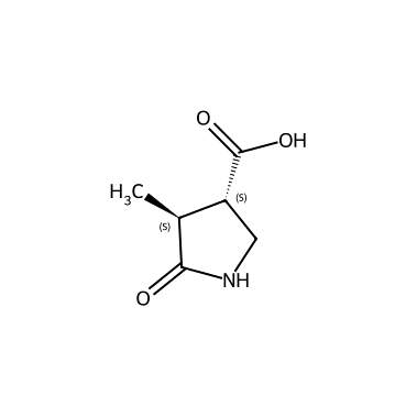 C[C@@H]1C(=O)NC[C@H]1C(=O)O